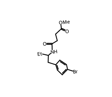 CCC(Cc1ccc(Br)cc1)NC(=O)CCC(=O)OC